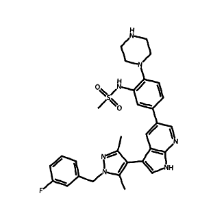 Cc1nn(Cc2cccc(F)c2)c(C)c1-c1c[nH]c2ncc(-c3ccc(N4CCNCC4)c(NS(C)(=O)=O)c3)cc12